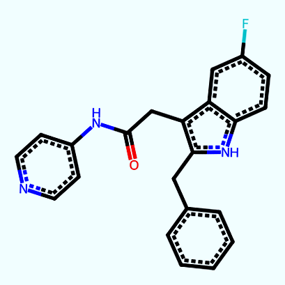 O=C(Cc1c(Cc2ccccc2)[nH]c2ccc(F)cc12)Nc1ccncc1